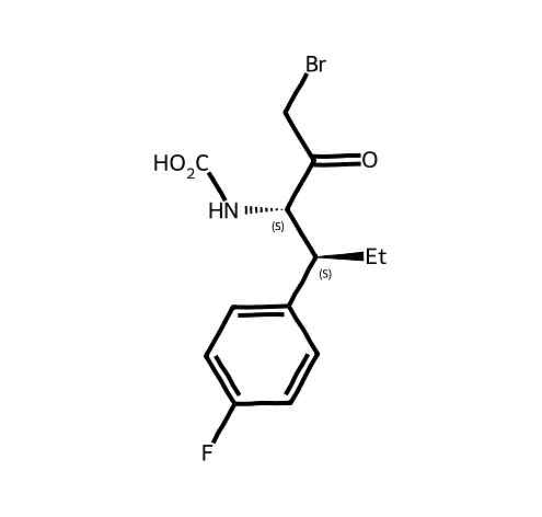 CC[C@@H](c1ccc(F)cc1)[C@H](NC(=O)O)C(=O)CBr